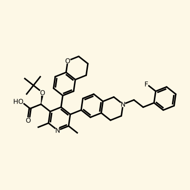 Cc1nc(C)c([C@H](OC(C)(C)C)C(=O)O)c(-c2ccc3c(c2)CCCO3)c1-c1ccc2c(c1)CCN(CCc1ccccc1F)C2